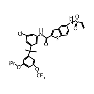 C=CS(=O)(=O)Nc1ccc2sc(C(=O)Nc3cc(Cl)cc(C(C)(C)c4cc(OC(C)C)cc(OC(F)(F)F)c4)c3)cc2c1